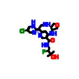 CC(C)(O)C(F)CNC(=O)c1cnc(/C(C=N)=C2\N=CC(Cl)=CN2)cc1NC1CCOC1